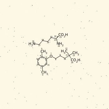 Cc1ccc(C)c(OCCCC(C)(C)C(=O)O)c1.NCCCC[C@H](N)C(=O)O